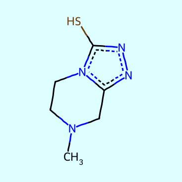 CN1CCn2c(S)nnc2C1